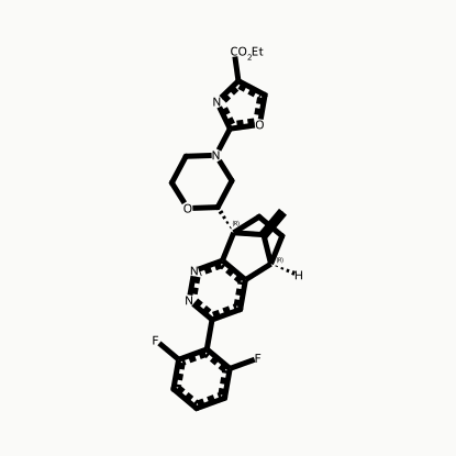 C=C1[C@H]2CC[C@]1(C1CN(c3nc(C(=O)OCC)co3)CCO1)c1nnc(-c3c(F)cccc3F)cc12